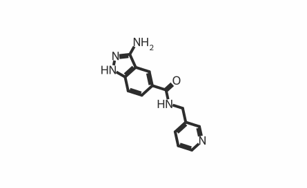 Nc1n[nH]c2ccc(C(=O)NCc3cccnc3)cc12